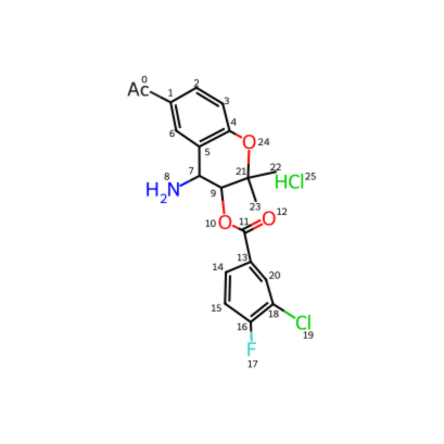 CC(=O)c1ccc2c(c1)C(N)C(OC(=O)c1ccc(F)c(Cl)c1)C(C)(C)O2.Cl